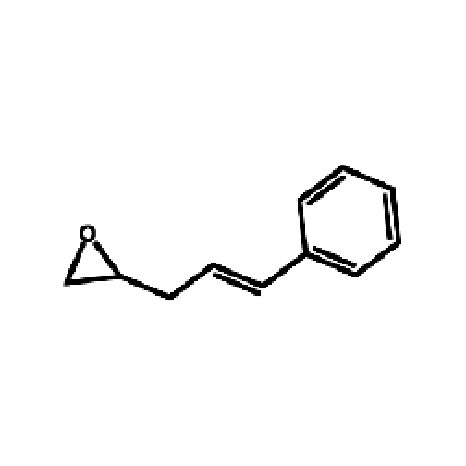 C(=Cc1ccccc1)CC1CO1